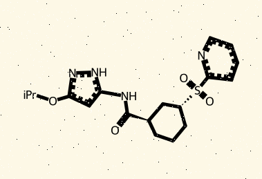 CC(C)Oc1cc(NC(=O)[C@@H]2CCC[C@@H](S(=O)(=O)c3ccccn3)C2)[nH]n1